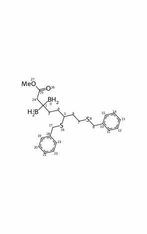 BC(B)(CCC(CCSCc1ccccc1)SCc1ccccc1)CC(=O)OC